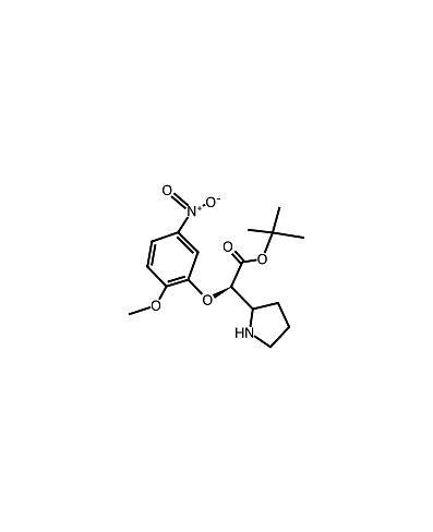 COc1ccc([N+](=O)[O-])cc1O[C@@H](C(=O)OC(C)(C)C)C1CCCN1